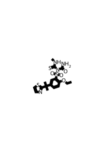 CCOc1ccc(C(C)(C)c2nccs2)cc1S(=O)(=O)N(C(N)=O)C(=S)NC